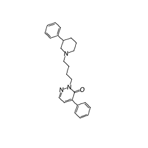 O=c1c(-c2ccccc2)ccnn1CCCCN1CCCC(c2ccccc2)C1